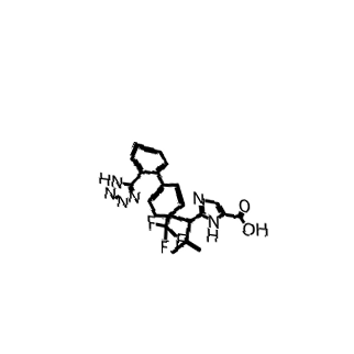 CC(C)C(c1ncc(C(=O)O)[nH]1)C1(C(F)(F)F)C=CC(c2ccccc2-c2nnn[nH]2)=CC1